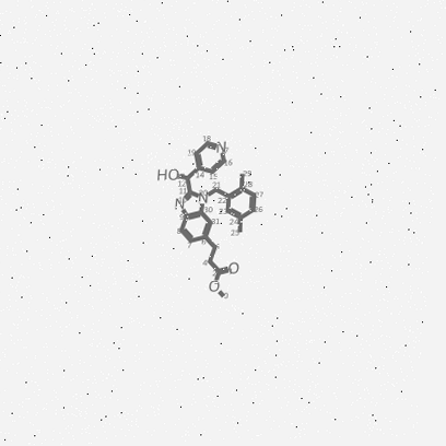 COC(=O)CCc1ccc2nc(C(O)c3ccncc3)n(Cc3cc(C)ccc3C)c2c1